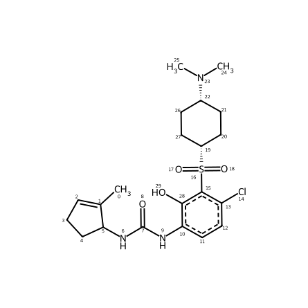 CC1=CCCC1NC(=O)Nc1ccc(Cl)c(S(=O)(=O)[C@H]2CC[C@@H](N(C)C)CC2)c1O